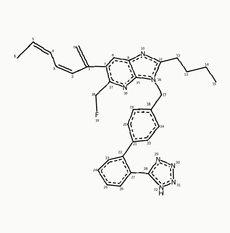 C=C(/C=C\C=C/C)c1cc2nc(CCCC)n(Cc3ccc(-c4ccccc4-c4nnn[nH]4)cc3)c2nc1CF